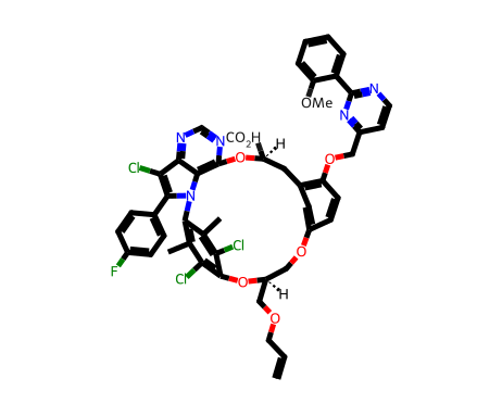 C=CCOC[C@@H]1COc2ccc(OCc3ccnc(-c4ccccc4OC)n3)c(c2)C[C@H](C(=O)O)Oc2ncnc3c(Cl)c(-c4ccc(F)cc4)n(c23)-c2c(C)c(Cl)c(c(Cl)c2C)O1